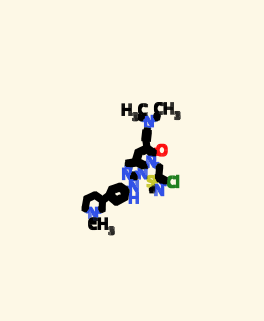 CCN(C#Cc1cc2cnc(Nc3ccc(C4CCCN(C)C4)cc3)nc2n(Cc2scnc2Cl)c1=O)CC